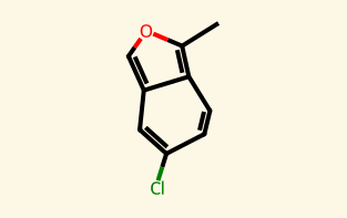 Cc1occ2cc(Cl)ccc12